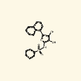 O=S(=O)(Nc1oc(-c2cccc3ccccc23)c(O)c1O)c1ccccc1